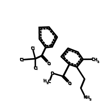 COC(=O)c1cccc(C)c1CCN.O=C(c1ccccc1)C(Cl)(Cl)Cl